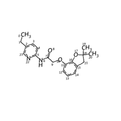 CCc1ccc(NC(=O)COc2cccc3c2OC(C)(C)C3)nc1